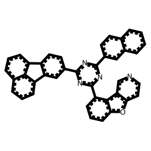 c1ccc2cc(-c3nc(-c4ccc5c(c4)-c4cccc6cccc-5c46)nc(-c4cccc5oc6ccncc6c45)n3)ccc2c1